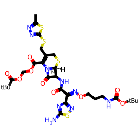 Cc1nnc(SCC2=C(C(=O)OCOC(=O)C(C)(C)C)N3C(=O)C(NC(=O)C(=NOCCCNC(=O)OC(C)(C)C)c4nsc(N)n4)[C@@H]3SC2)s1